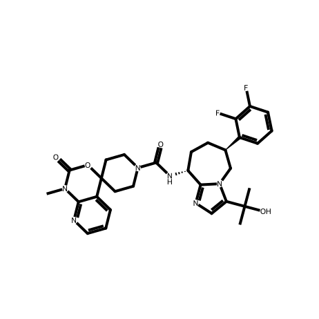 CN1C(=O)OC2(CCN(C(=O)N[C@@H]3CC[C@@H](c4cccc(F)c4F)Cn4c(C(C)(C)O)cnc43)CC2)c2cccnc21